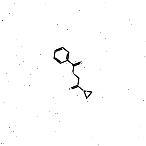 O=C(OCC(=O)C1CC1)c1ccccc1